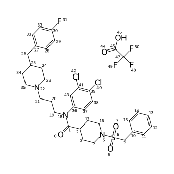 O=C(C1CCN(S(=O)(=O)Cc2ccccc2)CC1)N(CCCN1CCC(Cc2ccc(F)cc2)CC1)c1ccc(Cl)c(Cl)c1.O=C(O)C(F)(F)F